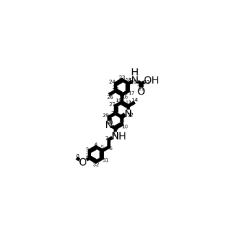 COc1ccc(CCNc2cc3nc(C)c(-c4cc(NC(=O)O)ccc4C)cc3cn2)cc1